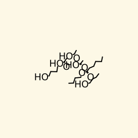 CC(=O)O.CC(=O)O.CC(=O)O.CCCCCC(=O)OCCCC.CCCCO.CCCCO